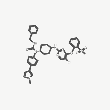 Cn1cc(-c2ccc(N(C(=O)NCc3ccccc3)[C@H]3CC[C@H](Nc4ncc(Cl)c(Oc5ccccc5S(C)(=O)=O)n4)CC3)cc2)cn1